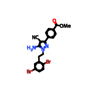 COC(=O)c1ccc(-c2nn(CCc3cc(Br)ccc3Br)c(N)c2C#N)cc1